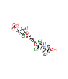 O=C(O)CCc1cc(Cl)c(OCCCOCCOc2c(Cl)cc(Nc3ccccc3C(=O)O)cc2Cl)c(Cl)c1